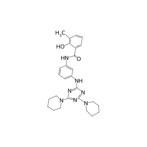 Cc1cccc(C(=O)Nc2cccc(Nc3nc(N4CCCCC4)nc(N4CCCCC4)n3)c2)c1O